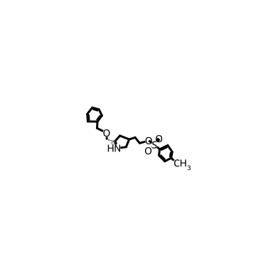 Cc1ccc(S(=O)(=O)OCCC2CN[C@H](COCc3ccccc3)C2)cc1